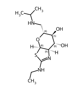 CCNC1=N[C@@H]2[C@@H](O)[C@H](O)[C@@H](CNC(C)C)O[C@@H]2S1